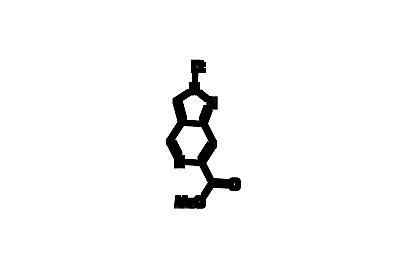 CCn1cc2cnc(C(=O)OC)cc2n1